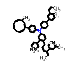 C=CC(=C\C(=C)C)/C(/C=C\CC1=C(C(/C=C\C)=C/C)CC(N(C2=CCC(c3ccc(C)c(/C=C\C)c3)C=C2)c2ccc(C3=C/C(=C)/C=C\C=C/C/C=C\3)cc2)C=C1)=C/C